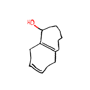 OC1CCC2=C1CC=CC2